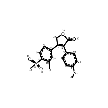 CSc1ccc(C2=C(c3ccc(S(C)(=O)=O)c(C)c3)COC2=O)cc1